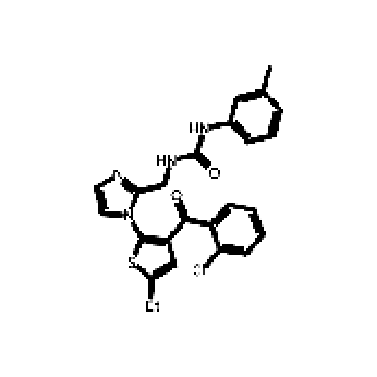 CCc1cc(C(=O)c2ccccc2Cl)c(-n2ccnc2CNC(=O)Nc2cccc(C)c2)s1